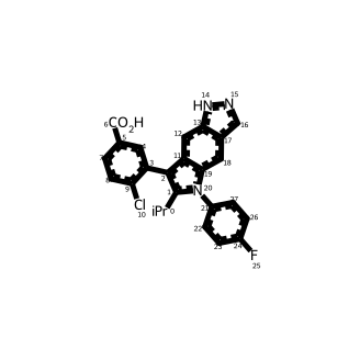 CC(C)c1c(-c2cc(C(=O)O)ccc2Cl)c2cc3[nH]ncc3cc2n1-c1ccc(F)cc1